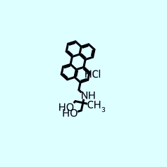 CC(CO)(CO)NCc1ccc2c3cccc4cccc(c5cccc1c52)c43.Cl